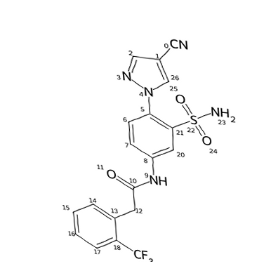 N#Cc1cnn(-c2ccc(NC(=O)Cc3ccccc3C(F)(F)F)cc2S(N)(=O)=O)c1